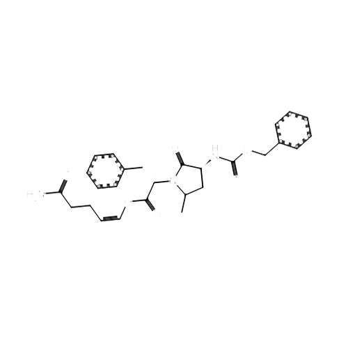 CC1C[C@H](NC(=O)OCc2ccccc2)C(=O)N1[C@@H](Cc1ccccc1)C(=O)O/C=C\CCC(N)=O